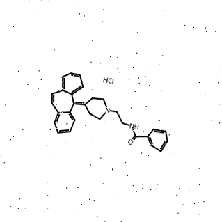 Cl.O=C(NCCN1CCC(=C2c3ccccc3C=Cc3ccccc32)CC1)c1ccccc1